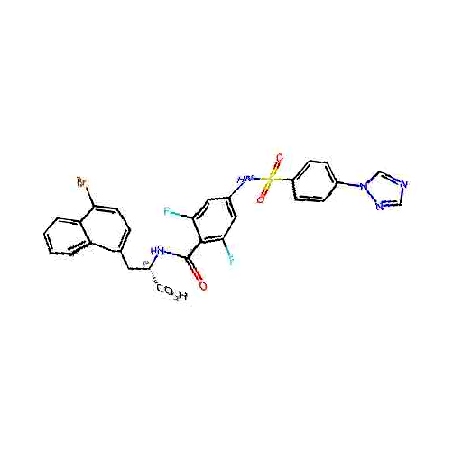 O=C(N[C@@H](Cc1ccc(Br)c2ccccc12)C(=O)O)c1c(F)cc(NS(=O)(=O)c2ccc(-n3cncn3)cc2)cc1F